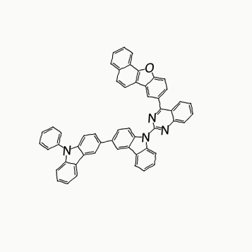 c1ccc(-n2c3ccccc3c3cc(-c4ccc5c(c4)c4ccccc4n5-c4nc(-c5ccc6oc7c8ccccc8ccc7c6c5)c5ccccc5n4)ccc32)cc1